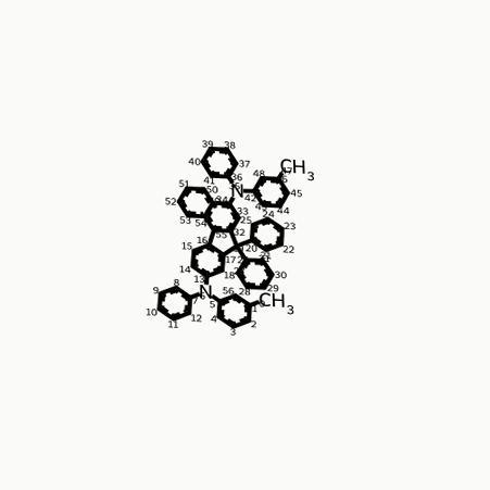 Cc1cccc(N(c2ccccc2)c2ccc3c(c2)C(c2ccccc2)(c2ccccc2)c2cc(N(c4ccccc4)c4cccc(C)c4)c4ccccc4c2-3)c1